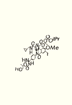 C=Cc1cc(C(=O)Nc2ccc(C(=N)NC(=O)OC(C)CO)cc2)c(-c2ccc(C(=O)NCC3CC3)nc2C(=O)OC(C)OC(=O)OC(C)C)cc1OC